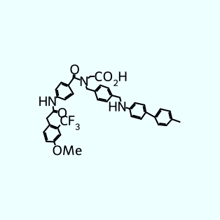 COc1ccc(CC(=O)Nc2ccc(C(=O)N(CC(=O)O)Cc3ccc(CNc4ccc(-c5ccc(C)cc5)cc4)cc3)cc2)c(C(F)(F)F)c1